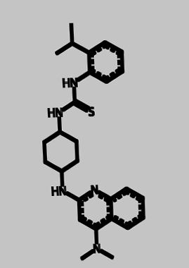 CC(C)c1ccccc1NC(=S)NC1CCC(Nc2cc(N(C)C)c3ccccc3n2)CC1